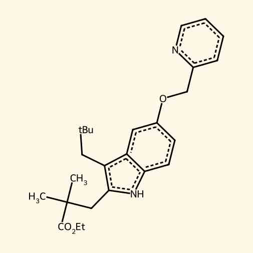 CCOC(=O)C(C)(C)Cc1[nH]c2ccc(OCc3ccccn3)cc2c1CC(C)(C)C